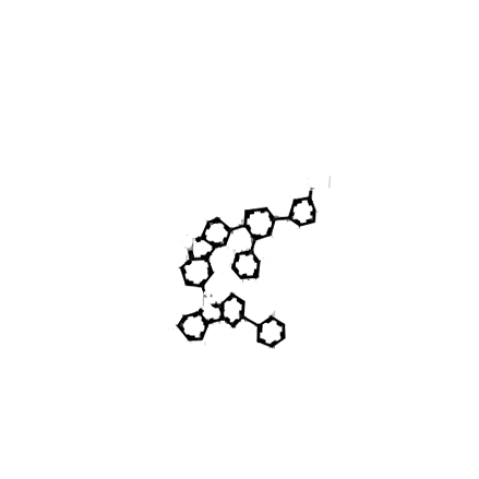 Cc1cccc(-c2ccc(-c3ccc4oc5ccc(-n6c7ccccc7c7cc(-c8ccccc8)ccc76)cc5c4c3)c(-c3ccccc3)c2)c1